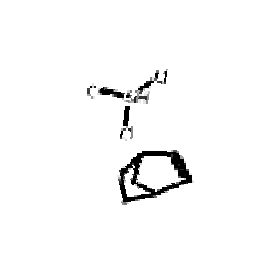 C1=CC2CCC1C2.Cl[SiH](Cl)Cl